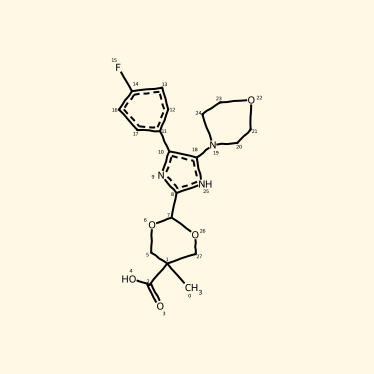 CC1(C(=O)O)COC(c2nc(-c3ccc(F)cc3)c(N3CCOCC3)[nH]2)OC1